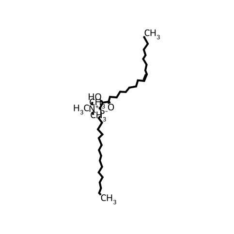 CCCCCCCC/C=C\CCCCCCCC(=O)C(O)C([P-]CCCCCCCCCCCCCCCC)[N+](C)(C)C